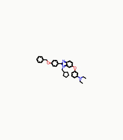 CCN(CC)c1cccc(Oc2ccc3nc(-c4ccc(OCc5ccccc5)cc4)n(CC4CCCC4)c3c2)c1